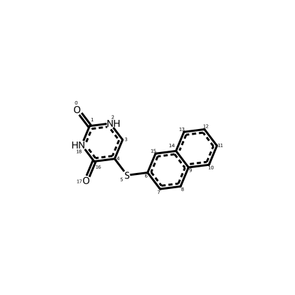 O=c1[nH]cc(Sc2ccc3ccccc3c2)c(=O)[nH]1